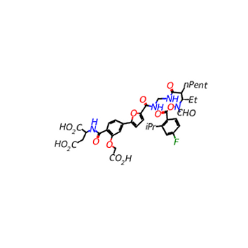 CCCCCC(C(=O)NCNC(=O)c1ccc(-c2ccc(C(=O)NC(CC(=O)O)C(=O)O)c(OCC(=O)O)c2)o1)[C@@H](CC)N(C=O)OC(=O)c1ccc(F)cc1C(C)C